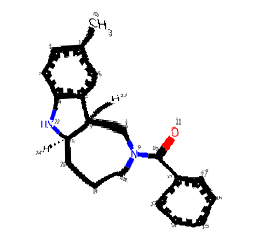 Cc1ccc2c(c1)[C@@H]1CN(C(=O)c3ccccc3)CCC[C@H]1N2